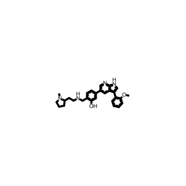 COc1ccccc1-c1c[nH]c2ncc(-c3ccc(CNCCC4CCCN4C)c(O)c3)cc12